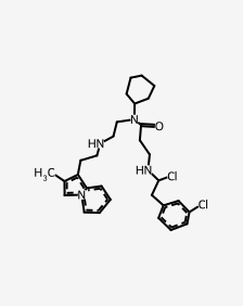 Cc1cn2ccccc2c1CCNCCN(C(=O)CCNC(Cl)Cc1cccc(Cl)c1)C1CCCCC1